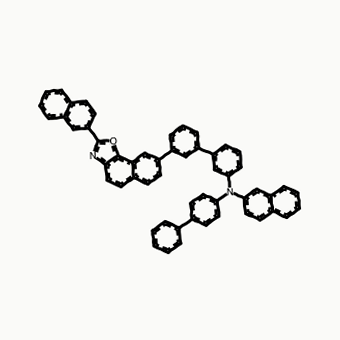 c1ccc(-c2ccc(N(c3cccc(-c4cccc(-c5ccc6ccc7nc(-c8ccc9ccccc9c8)oc7c6c5)c4)c3)c3ccc4ccccc4c3)cc2)cc1